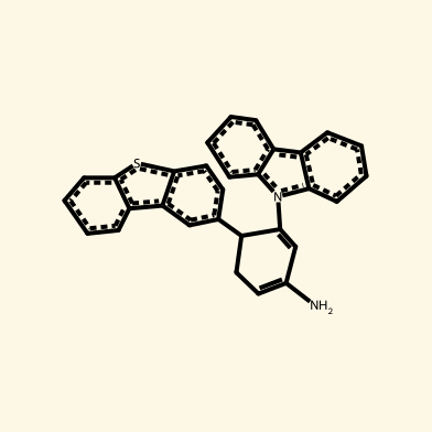 NC1=CCC(c2ccc3sc4ccccc4c3c2)C(n2c3ccccc3c3ccccc32)=C1